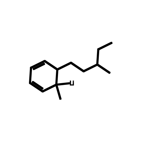 [Li][C]1(C)C=CC=CC1CCC(C)CC